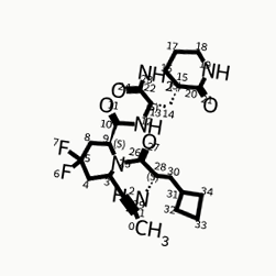 CC#CC1CC(F)(F)C[C@@H](C(=O)N[C@@H](C[C@@H]2CCCNC2=O)C(N)=O)N1C(=O)[C@@H](N)CC1CCC1